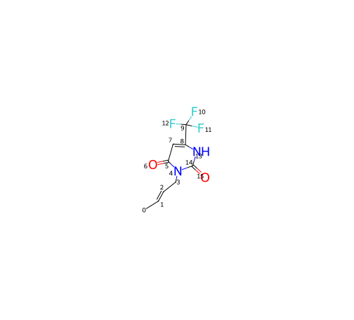 CC=CCn1c(=O)cc(C(F)(F)F)[nH]c1=O